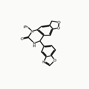 CC(C)N1C(=O)NC(c2ccc3ocnc3c2)c2cc3c(cc21)COO3